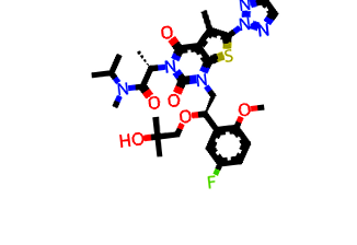 COc1ccc(F)cc1[C@H](Cn1c(=O)n([C@@H](C)C(=O)N(C)C(C)C)c(=O)c2c(C)c(-n3nccn3)sc21)OCC(C)(C)O